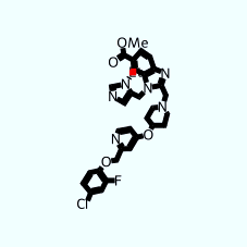 CCn1cncc1Cn1c(CN2CCC(Oc3ccnc(COc4ccc(Cl)cc4F)c3)CC2)nc2ccc(C(=O)OC)cc21